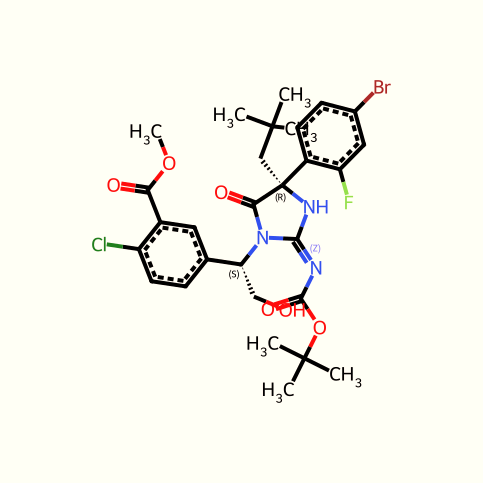 COC(=O)c1cc([C@@H](CO)N2C(=O)[C@@](CC(C)(C)C)(c3ccc(Br)cc3F)N/C2=N/C(=O)OC(C)(C)C)ccc1Cl